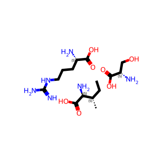 CC[C@H](C)[C@H](N)C(=O)O.N=C(N)NCCC[C@H](N)C(=O)O.N[C@@H](CO)C(=O)O